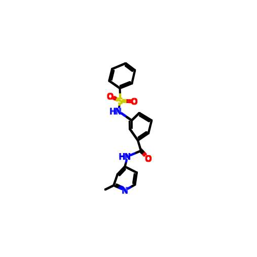 Cc1cc(NC(=O)c2cccc(NS(=O)(=O)c3ccccc3)c2)ccn1